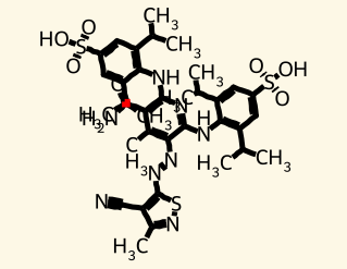 Cc1nsc(N=Nc2c(Nc3c(C(C)C)cc(S(=O)(=O)O)cc3C(C)C)nc(Nc3c(C(C)C)cc(S(=O)(=O)O)cc3C(C)C)c(C(N)=O)c2C)c1C#N